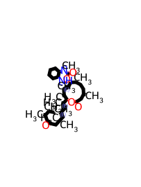 CCC(C)C(C)C1OC1CC(C)(C)/C=C/C=C(\C)C1OC(=O)CC(C)CCC(C)C(OC(=O)N(C)C2CCCCC2NC)/C=C/C1C